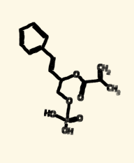 C=C(C)C(=O)OC(C=Cc1ccccc1)COP(=O)(O)O